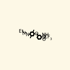 CCN(C)C=Nc1cc(C)c(Oc2cccc(S(=N)(=O)C(F)(F)F)c2)cc1C